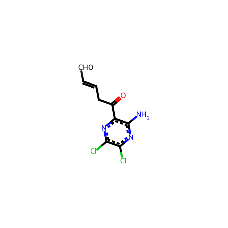 Nc1nc(Cl)c(Cl)nc1C(=O)CC=CC=O